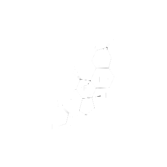 C[C@]12CC(=O)[C@@]3(F)[C@@H](CCC4CC(=O)CC[C@@]43C)[C@@H]1CC[C@@H]2C(=O)CO